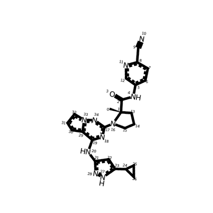 C[C@@]1(C(=O)Nc2ccc(C#N)nc2)CCCN1c1nc(Nc2cc(C3CC3)[nH]n2)c2cccn2n1